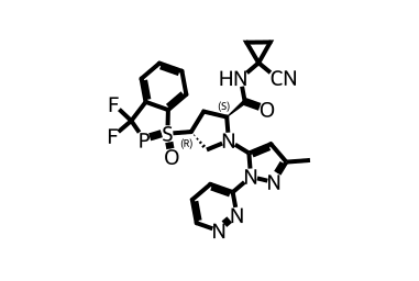 Cc1cc(N2C[C@H](S3(=O)=PC(F)(F)c4ccccc43)C[C@H]2C(=O)NC2(C#N)CC2)n(-c2cccnn2)n1